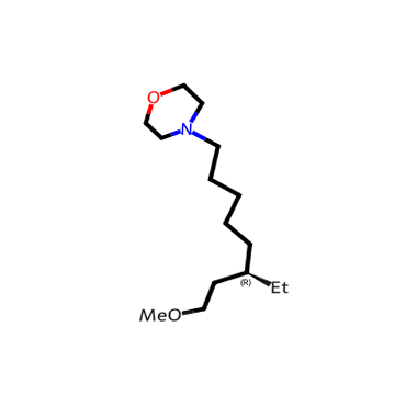 CC[C@H](CCCCCN1CCOCC1)CCOC